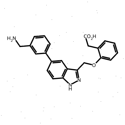 NCc1cccc(-c2ccc3[nH]nc(COc4ccccc4CC(=O)O)c3c2)c1